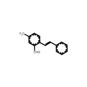 O=Cc1cc(C(F)(F)F)ccc1/C=C/c1ccccc1